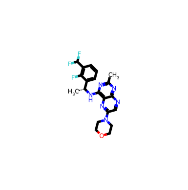 Cc1nc(N[C@H](C)c2cccc(C(F)F)c2F)c2nc(N3CCOCC3)cnc2n1